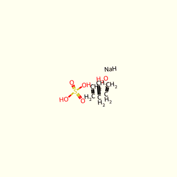 C=C.C=C.C=C.O.O=S(=O)(O)O.[NaH]